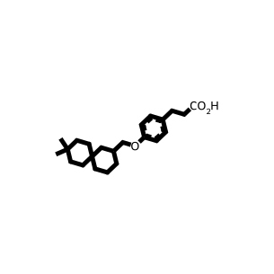 CC1(C)CCC2(CCCC(COc3ccc(CCC(=O)O)cc3)C2)CC1